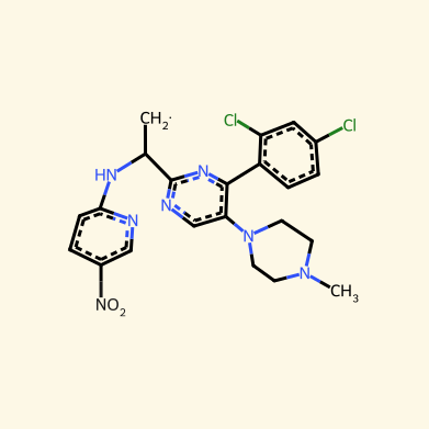 [CH2]C(Nc1ccc([N+](=O)[O-])cn1)c1ncc(N2CCN(C)CC2)c(-c2ccc(Cl)cc2Cl)n1